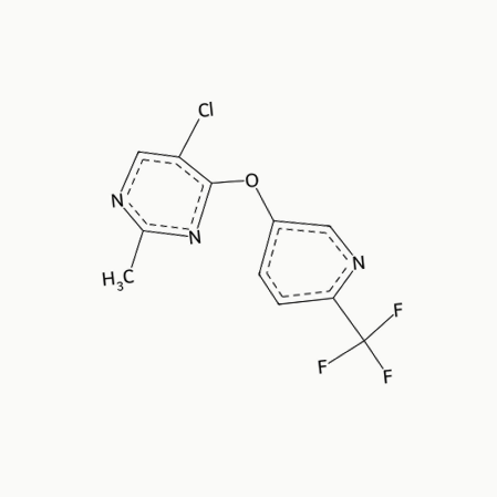 Cc1ncc(Cl)c(Oc2ccc(C(F)(F)F)nc2)n1